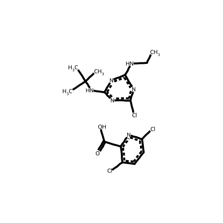 CCNc1nc(Cl)nc(NC(C)(C)C)n1.O=C(O)c1nc(Cl)ccc1Cl